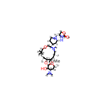 CO[C@]1(C)C[C@@H](C)CN(C)[C@@H](C2CCN(C[C@@H]3COC(=O)N3)CC2)COCC(C)(C)C[C@@H](C)[C@H]1O[C@@H]1O[C@H](C)C[C@H](N(C)C)[C@H]1O